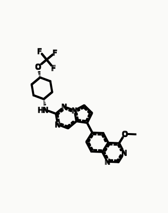 COc1ncnc2ccc(-c3ccn4nc(N[C@H]5CC[C@@H](OC(F)(F)F)CC5)ncc34)cc12